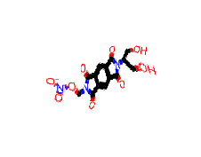 O=c1c2cc3c(=O)n(C(CO)CO)c(=O)c3cc2c(=O)n1CO[N+](=O)[O-]